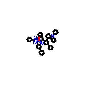 C1=CC2c3c(-c4cc(-c5ccccc5)cc5c4c4ccccc4n5-c4cc(-c5ccccc5)ccc4-c4nc(-c5ccccc5)nc(-c5ccccc5)n4)cccc3N(c3ccccc3)C2C=C1